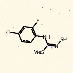 CS/C(=N/S)Nc1ccc(Cl)cc1F